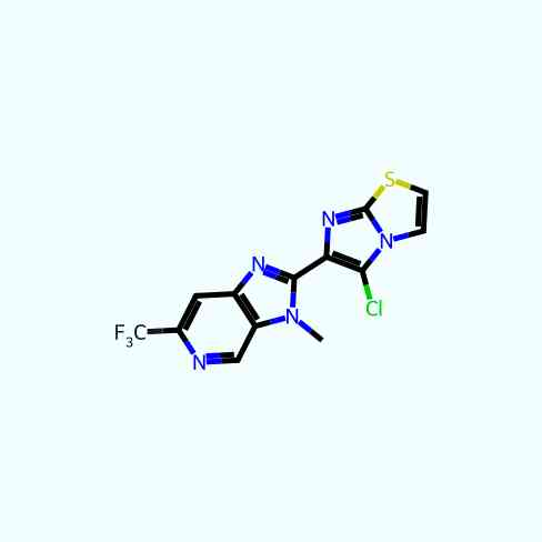 Cn1c(-c2nc3sccn3c2Cl)nc2cc(C(F)(F)F)ncc21